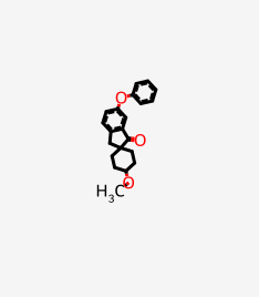 COC1CCC2(CC1)Cc1ccc(Oc3ccccc3)cc1C2=O